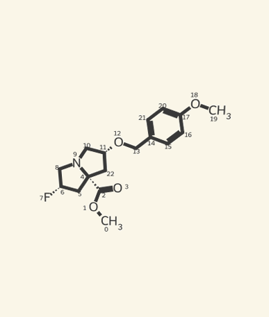 COC(=O)[C@]12C[C@H](F)CN1C[C@H](OCc1ccc(OC)cc1)C2